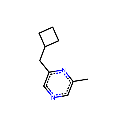 Cc1cncc(CC2CCC2)n1